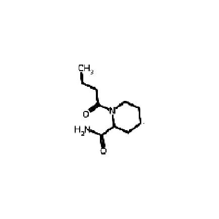 CCCC(=O)N1CC[CH]CC1C(N)=O